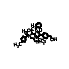 Cc1ccc(C(=O)N(CCCN)C(c2nc(C)c(-c3ccc(CO)cc3)c(=O)n2Cc2ccccc2)C(C)C)cc1